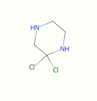 ClC1(Cl)CNCCN1